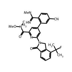 CNC(=N)c1ccc(C#N)cc1-c1cc(C(=O)N(C)OC)nc(N2Cc3c(cccc3C(C)(C)F)C2=O)c1